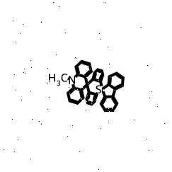 CN1c2ccccc2C2(c3ccccc31)c1ccccc1[Si]1(c3ccccc3-c3ccccc31)c1ccccc12